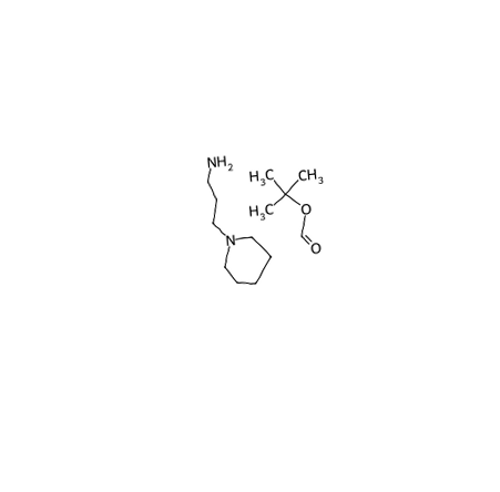 CC(C)(C)OC=O.NCCCN1CCCCC1